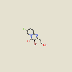 O=c1c(Br)c(CCO)nc2ccc(F)cn12